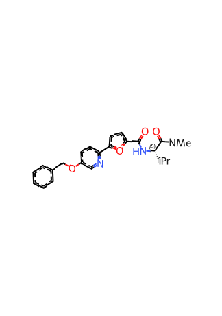 CNC(=O)[C@@H](NC(=O)c1ccc(-c2ccc(OCc3ccccc3)cn2)o1)C(C)C